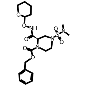 CN(C)S(=O)(=O)N1CCN(C(=O)OCc2ccccc2)[C@@H](C(=O)NOC2CCCCO2)C1